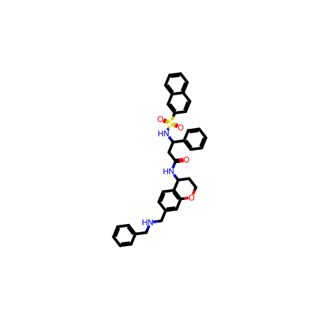 O=C(CC(NS(=O)(=O)c1ccc2ccccc2c1)c1ccccc1)NC1CCOc2cc(CNCc3ccccc3)ccc21